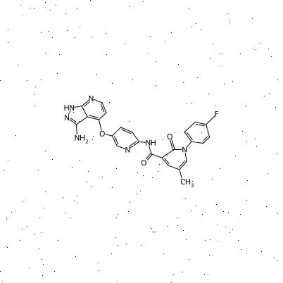 Cc1cc(C(=O)Nc2ccc(Oc3ccnc4[nH]nc(N)c34)cn2)c(=O)n(-c2ccc(F)cc2)c1